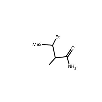 CCC(SC)C(C)C(N)=O